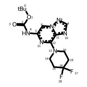 CC(C)(C)OC(=O)Nc1cn2ncnc2c(N2CCC(F)(F)CC2)n1